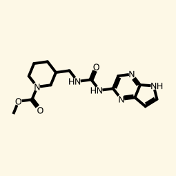 COC(=O)N1CCCC(CNC(=O)Nc2cnc3[nH]ccc3n2)C1